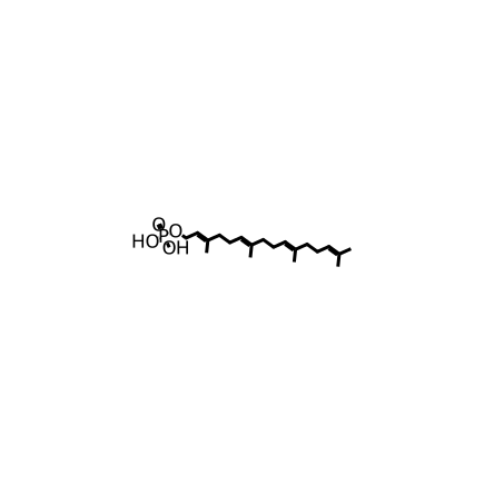 CC(C)=CCC/C(C)=C/CC/C(C)=C/CC/C(C)=C/COP(=O)(O)O